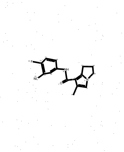 Cc1cn2c(c1C(=O)Nc1ccc(F)c(C#N)c1)CCC2